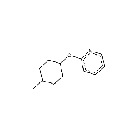 CC1CCC(Oc2ccccn2)CC1